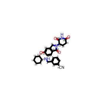 N#Cc1cccc(CN[C@@H]2CCCC[C@@H]2Oc2ccc3c(c2)CN(C2CCC(=O)NC2=O)C3=O)c1